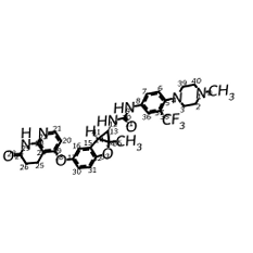 CN1CCN(c2ccc(NC(=O)N[C@H]3[C@@H]4c5cc(Oc6ccnc7c6CCC(=O)N7)ccc5OC34C)cc2C(F)(F)F)CC1